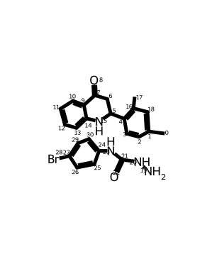 Cc1ccc(C2CC(=O)c3ccccc3N2)c(C)c1.NNC(=O)Nc1ccc(Br)cc1